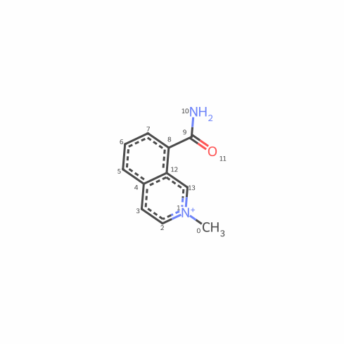 C[n+]1ccc2cccc(C(N)=O)c2c1